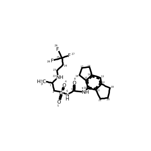 CC(CS(=O)(=O)NC(=O)Nc1c2c(cc3c1CCC3)CCC2)NCCC(F)(F)F